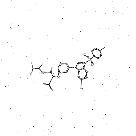 Cc1ccc(S(=O)(=O)n2cc(-c3cncc(NC(C(=O)NC(F)C(F)F)C(C)C)c3)c3cc(Cl)cnc32)cc1